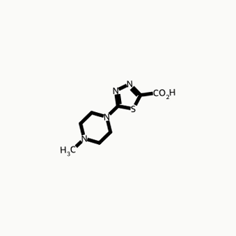 CN1CCN(c2nnc(C(=O)O)s2)CC1